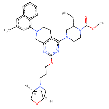 Cc1cc(N2CCc3c(nc(OCCCN4C[C@@H]5C[C@H]4CO5)nc3N3CCN(C(=O)OC(C)(C)C)C(CC#N)C3)C2)c2ccccc2c1